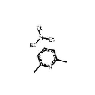 CCN(CC)CC.Cc1cccc(C)n1